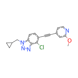 COc1cc(C#Cc2ccc3c(nnn3CC3CC3)c2Cl)ccn1